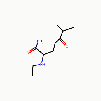 CCNC(CCC(=O)C(C)C)C(N)=O